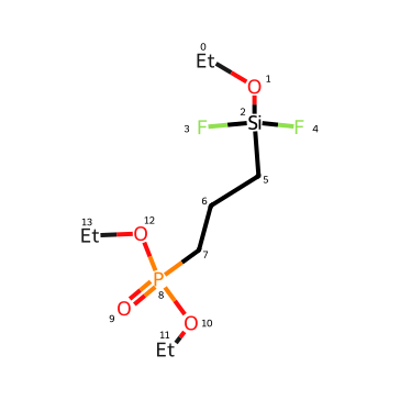 CCO[Si](F)(F)CCCP(=O)(OCC)OCC